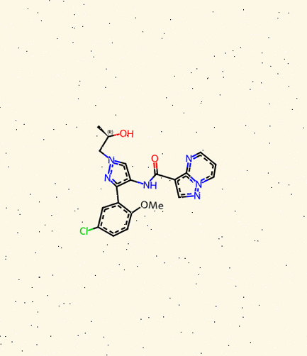 COc1ccc(Cl)cc1-c1nn(C[C@@H](C)O)cc1NC(=O)c1cnn2cccnc12